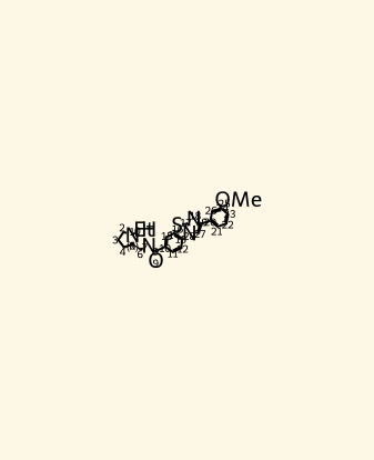 CCN1CCC[C@@H]1CNC(=O)c1ccc2c(c1)sc1nc(-c3cccc(OC)c3)cn12